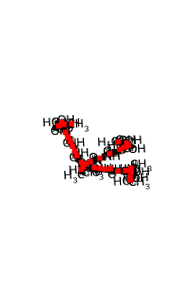 CC(=O)NC1C(OCCCCC(=O)NCCCNC(=O)CCOCC(COCCC(=O)NCCCNC(=O)CCCCOC2OC(CO)C(O)C(O)C2NC(C)=O)(COCCC(=O)NCCCNC(=O)CCCCOC(OC(CO)[C@@H](C)O)[C@H](CO)NC(C)=O)NC(C)C)OC(CO)C(O)C1O